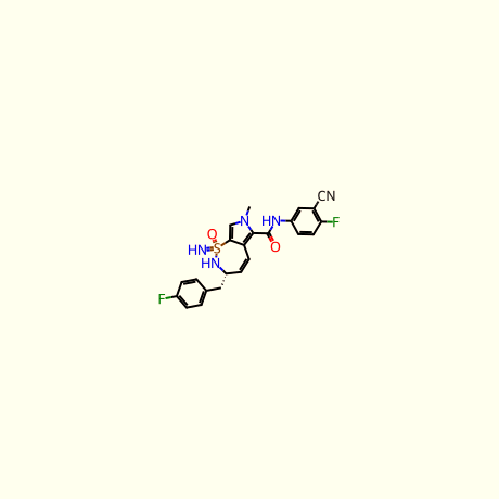 Cn1cc2c(c1C(=O)Nc1ccc(F)c(C#N)c1)C=C[C@H](Cc1ccc(F)cc1)NS2(=N)=O